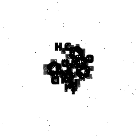 Cc1ccc(C(=O)c2ccccc2)c(NC(=O)c2cc(C(F)(F)F)nn2-c2ccccc2Cl)c1